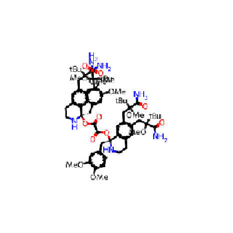 COc1ccc(C[C@]2(OC(=O)C(=O)O[C@@]3(Cc4ccc(OC)c(OC)c4)NCCc4cc(CC(OC)(C(N)=O)C(C)(C)C)c(CC(OC)(C(N)=O)C(C)(C)C)cc43)NCCc3cc(CC(OC)(C(N)=O)C(C)(C)C)c(CC(OC)(C(N)=O)C(C)(C)C)cc32)cc1OC